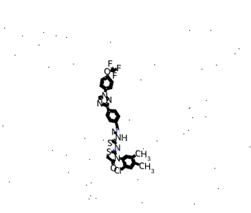 Cc1cc(Cl)c(N2C(=O)CS/C2=N\C(=S)N/N=C/c2ccc(-c3ncn(-c4ccc(OC(F)(F)F)cc4)n3)cc2)cc1C